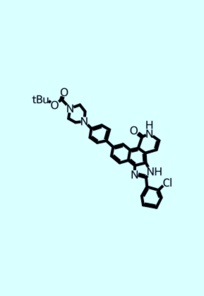 CC(C)(C)OC(=O)N1CCN(c2ccc(-c3ccc4c(c3)c3c(=O)[nH]ccc3c3[nH]c(-c5ccccc5Cl)nc43)cc2)CC1